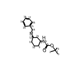 CC(C)(C)OC(=O)NC1CCCC(=NCc2ccccc2)C1